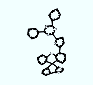 c1ccc(-c2nc(-c3ccccc3)nc(-c3ccc(-c4cccc5c4Oc4ccccc4C54c5ccccc5-c5ccccc54)o3)n2)cc1